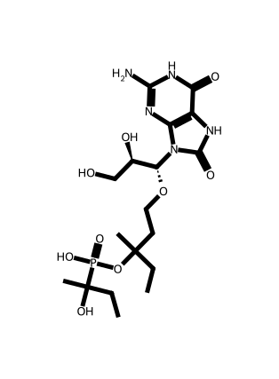 CCC(C)(CCO[C@H]([C@H](O)CO)n1c(=O)[nH]c2c(=O)[nH]c(N)nc21)OP(=O)(O)C(C)(O)CC